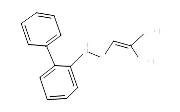 O=C(O)C(=CSNc1ccccc1-c1ccccc1)C(=O)O